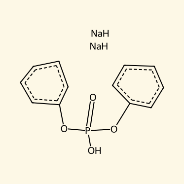 O=P(O)(Oc1ccccc1)Oc1ccccc1.[NaH].[NaH]